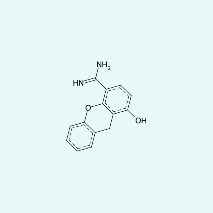 N=C(N)c1ccc(O)c2c1Oc1ccccc1C2